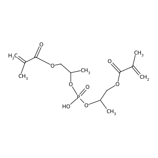 C=C(C)C(=O)OCC(C)OP(=O)(O)OC(C)COC(=O)C(=C)C